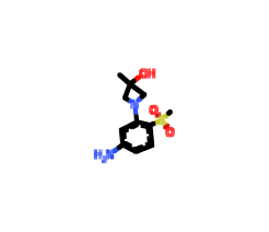 CC1(O)CN(c2cc(N)ccc2S(C)(=O)=O)C1